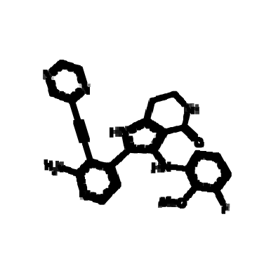 COc1c(F)cccc1Nc1c(-c2ccnc(N)c2C#Cc2cnccn2)[nH]c2c1C(=O)NCC2